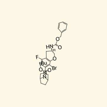 CC(C)(C)OC(=O)N1C2CCC1CN(c1cc(F)c3c(c1Br)OC[C@H](NC(=O)OCc1ccccc1)C3)C2